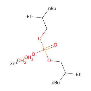 CCCCC(CC)COP(=O)([O-])OCC(CC)CCCC.O.O.[Zn+]